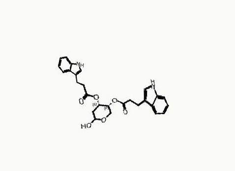 O=C(CCc1c[nH]c2ccccc12)O[C@H]1CC(O)OC[C@H]1OC(=O)CCc1c[nH]c2ccccc12